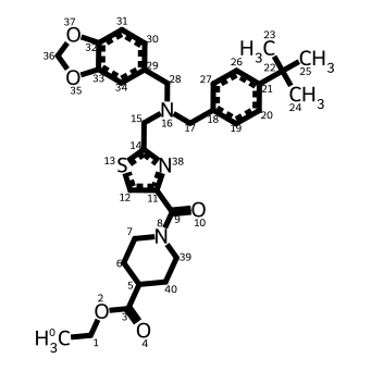 CCOC(=O)C1CCN(C(=O)c2csc(CN(Cc3ccc(C(C)(C)C)cc3)Cc3ccc4c(c3)OCO4)n2)CC1